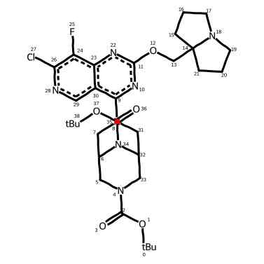 CC(C)(C)OC(=O)N1CC2CN(c3nc(OCC45CCCN4CCC5)nc4c(F)c(Cl)ncc34)CC(C1)N2C(=O)OC(C)(C)C